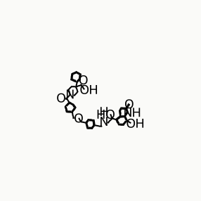 O=C(c1ccc(COCc2ccc(CNCC(O)c3ccc(O)c4[nH]c(=O)ccc34)cc2)cc1)N1CCC(C(=O)O)(c2ccccc2)CC1